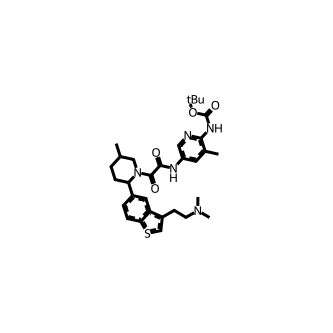 Cc1cc(NC(=O)C(=O)N2CC(C)CCC2c2ccc3scc(CCN(C)C)c3c2)cnc1NC(=O)OC(C)(C)C